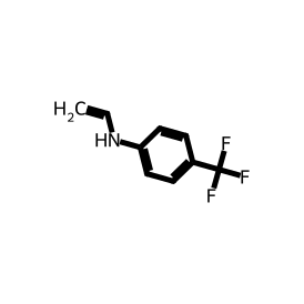 C=CNc1ccc(C(F)(F)F)cc1